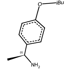 CCC(C)Oc1ccc([C@H](C)N)cc1